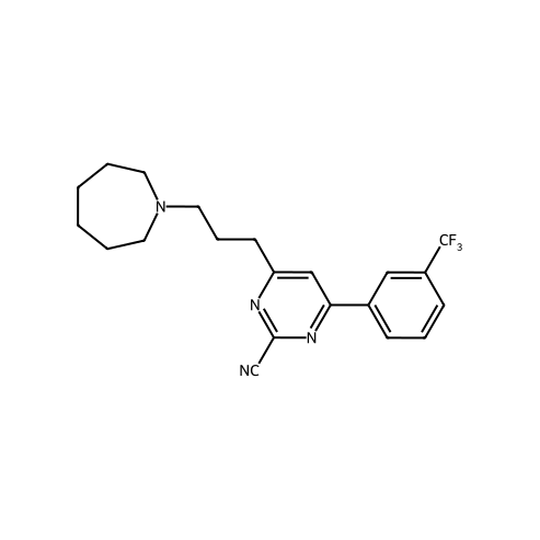 N#Cc1nc(CCCN2CCCCCC2)cc(-c2cccc(C(F)(F)F)c2)n1